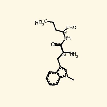 Cn1cc(C[C@H](N)C(=O)N[C@H]([C]=O)CCC(=O)O)c2ccccc21